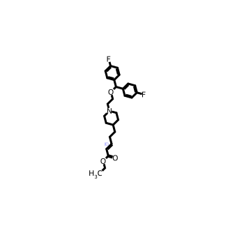 CCOC(=O)/C=C/CCC1CCN(CCOC(c2ccc(F)cc2)c2ccc(F)cc2)CC1